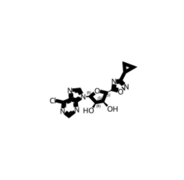 O[C@@H]1[C@H](O)[C@@H](c2nc(C3CC3)no2)O[C@H]1n1cnc2c(Cl)ncnc21